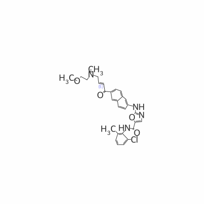 COCCN(C)C/C=C/C(=O)c1ccc2cc(Nc3ncc(C(=O)Nc4c(C)cccc4Cl)o3)ccc2c1